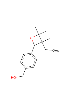 CC(=O)OCC1(C)C(c2ccc(CO)cc2)OC1(C)C